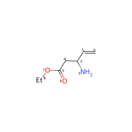 C=CC(N)CC(=O)OCC